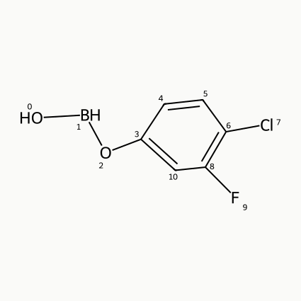 OBOc1ccc(Cl)c(F)c1